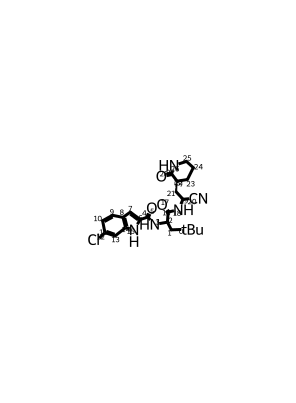 CC(C)(C)CC(NC(=O)c1cc2ccc(Cl)cc2[nH]1)C(=O)NC(C#N)C[C@@H]1CCCNC1=O